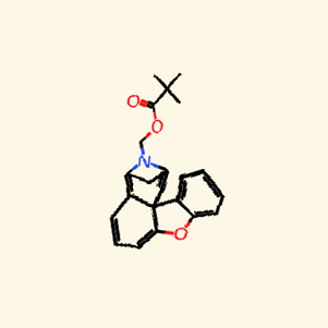 CC(C)(C)C(=O)OCN1C2=CC34C(=CC=CC3=C1C2)Oc1ccccc14